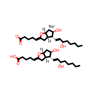 CCCCC[C@H](O)/C=C/[C@@H]1[C@H]2C/C(=C/CCCC(=O)O)O[C@H]2C[C@H]1O.CCCCC[C@H](O)/C=C/[C@@H]1[C@H]2C/C(=C/CCCC(=O)[O-])O[C@H]2C[C@H]1O.[Na+]